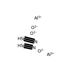 N#[SiH].N#[SiH].[Al+3].[Al+3].[O-2].[O-2].[O-2]